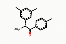 CCOC(=O)C(C(=O)c1ccc(C)cc1)c1cc(C)cc(C)c1